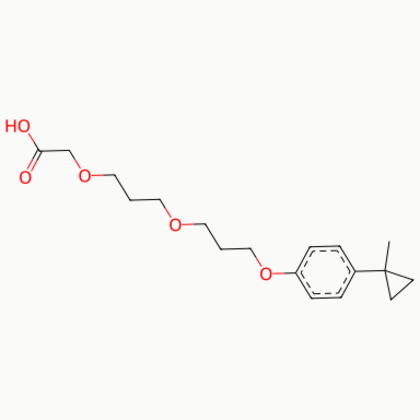 CC1(c2ccc(OCCCOCCCOCC(=O)O)cc2)CC1